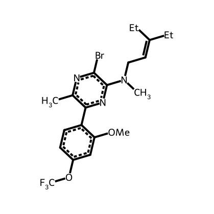 CCC(=CCN(C)c1nc(-c2ccc(OC(F)(F)F)cc2OC)c(C)nc1Br)CC